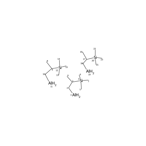 CC([CH2][AlH2])[Si](C)(C)C.CC([CH2][AlH2])[Si](C)(C)C.CC([CH2][AlH2])[Si](C)(C)C